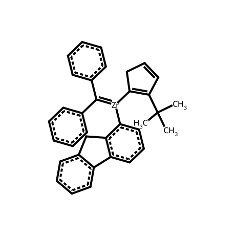 CC(C)(C)C1=[C]([Zr](=[C](c2ccccc2)c2ccccc2)[c]2cccc3c2Cc2ccccc2-3)CC=C1